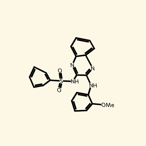 COc1ccccc1Nc1nc2ccccc2nc1NS(=O)(=O)c1ccccc1